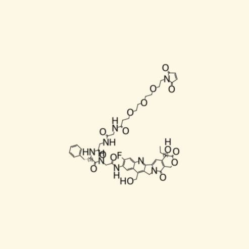 CC[C@@]1(O)C(=O)OCc2c1cc1n(c2=O)Cc2c-1nc1cc(F)c(NC(=O)CNC(=O)[C@H](Cc3ccccc3)NC(=O)CNC(=O)CNC(=O)CCOCCOCCOCCN3C(=O)C=CC3=O)cc1c2CO